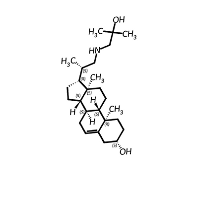 C[C@H](CNCC(C)(C)O)[C@H]1CC[C@H]2[C@@H]3CC=C4C[C@@H](O)CC[C@]4(C)[C@H]3CC[C@]12C